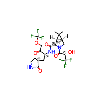 CC1(C)[C@@H]2[C@@H](C(=O)N[C@@H](C[C@@H]3CCNC3=O)C(=O)COC(F)(F)F)N(C(=O)[C@H](O)C(F)(F)F)C[C@@H]21